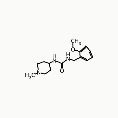 COc1ccccc1CNC(=O)NC1CCN(C)CC1